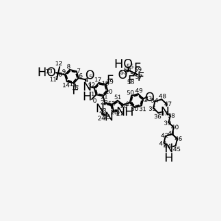 Cc1c(NC(=O)c2ccc(C(C)(C)O)cc2F)cc(F)cc1-c1ncnc2[nH]c(-c3ccc(OC4CCN(CCCC5CCNCC5)CC4)cc3)cc12.O=C(O)C(F)(F)F